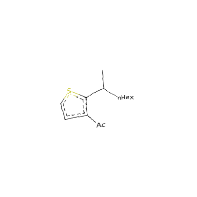 CCCCCCC(C)c1sccc1C(C)=O